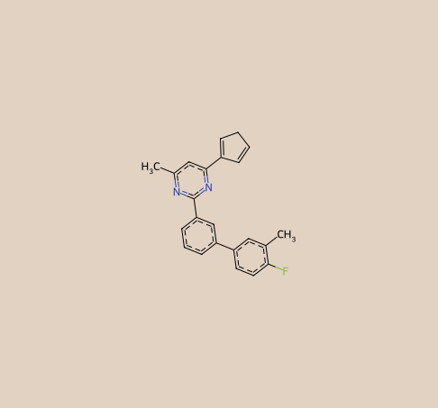 Cc1cc(C2=CCC=C2)nc(-c2cccc(-c3ccc(F)c(C)c3)c2)n1